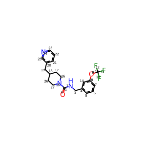 O=C(NCc1cccc(OC(F)(F)F)c1)N1CCC(Cc2cccnc2)CC1